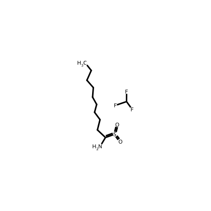 CCCCCCCCCC(N)=S(=O)=O.FC(F)F